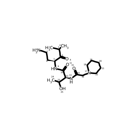 CC(C)C(=O)[C@H](CCN)NC(=O)[C@@H](NC(=O)CN1CCCCC1)C(C)O